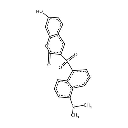 CN(C)c1cccc2c(S(=O)(=O)c3cc4ccc(O)cc4oc3=O)cccc12